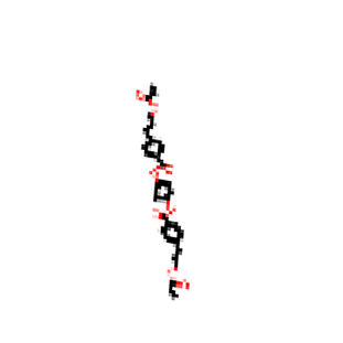 C=CC(=O)OCCCc1ccc(C(=O)Oc2ccc(OC(=O)c3ccc(CCCOC(=O)C=C)cc3)cc2)cc1